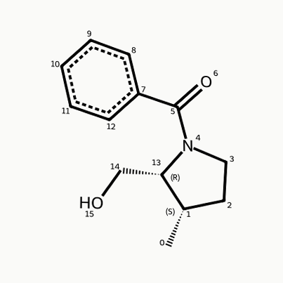 C[C@H]1CCN(C(=O)c2ccccc2)[C@H]1CO